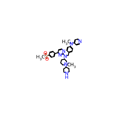 CN(c1ccncc1)c1ccc(CN(c2nccc(-c3ccc(S(C)(=O)=O)cc3)n2)[C@H]2CCC[N+](C)(C3CCNCC3)C2)cc1